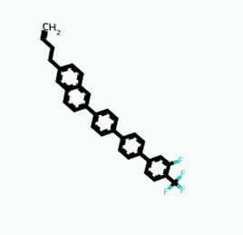 C=CCCc1ccc2cc(-c3ccc(-c4ccc(-c5ccc(C(F)(F)F)c(F)c5)cc4)cc3)ccc2c1